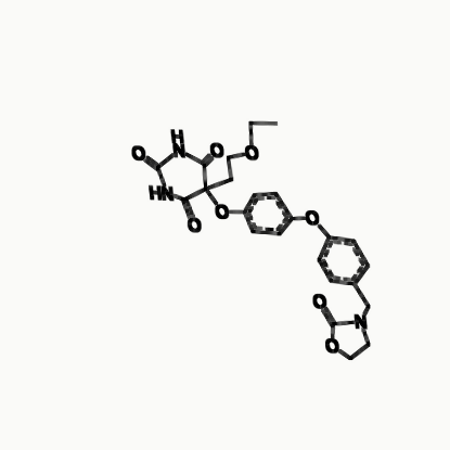 CCOCCC1(Oc2ccc(Oc3ccc(CN4CCOC4=O)cc3)cc2)C(=O)NC(=O)NC1=O